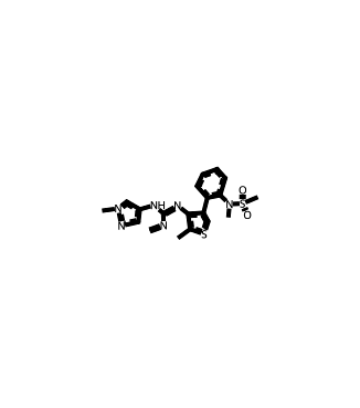 C=N/C(=N\c1c(-c2ccccc2N(C)S(C)(=O)=O)csc1C)Nc1cnn(C)c1